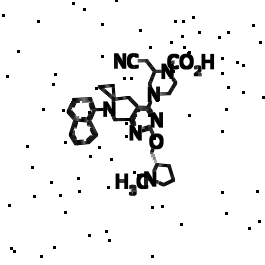 CN1CCC[C@H]1COc1nc2c(c(N3CCN(C(=O)O)C(CC#N)C3)n1)CC1(CC1)N(c1cccc3ccccc13)C2